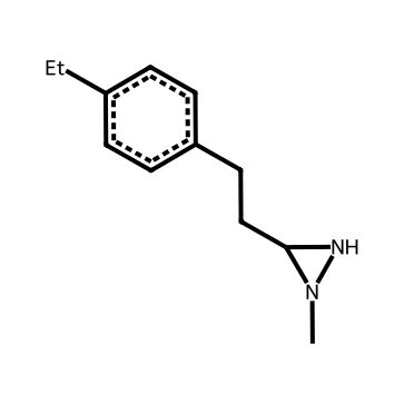 CCc1ccc(CCC2NN2C)cc1